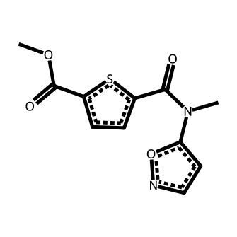 COC(=O)c1ccc(C(=O)N(C)c2ccno2)s1